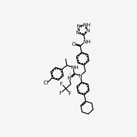 CC(N/C(=N/CC(F)(F)F)N(Cc1ccc(C(=O)Nc2nn[nH]n2)cc1)c1ccc(C2=CCCCC2)cc1)c1ccc(Cl)cc1